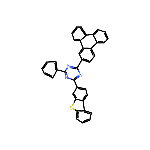 c1ccc(-c2nc(-c3ccc4c(c3)sc3ccccc34)nc(-c3ccc4c5ccccc5c5ccccc5c4c3)n2)cc1